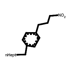 CCCCCCCCc1ccc(CCC[N+](=O)[O-])cc1